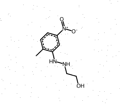 Cc1ccc([N+](=O)[O-])cc1NNCCO